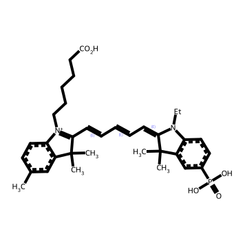 CCN1/C(=C/C=C/C=C/C2=[N+](CCCCCC(=O)O)c3ccc(C)cc3C2(C)C)C(C)(C)c2cc(P(=O)(O)O)ccc21